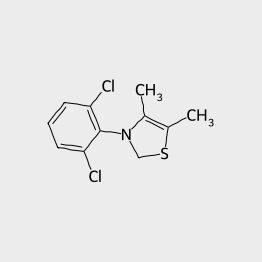 CC1=C(C)N(c2c(Cl)cccc2Cl)CS1